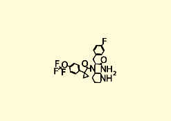 NC(=O)[C@H](Cc1ccc(F)cc1)N(C(=O)C1(c2ccc(OC(F)(F)F)cc2)CC1)[C@@H]1CCCNC1